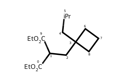 CCOC(=O)C(CC1(CC(C)C)CCC1)C(=O)OCC